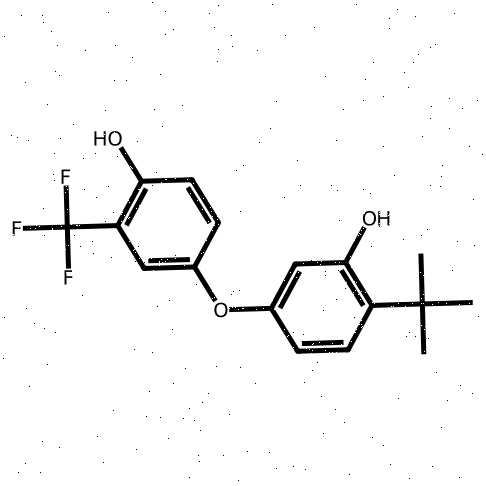 CC(C)(C)c1ccc(Oc2ccc(O)c(C(F)(F)F)c2)cc1O